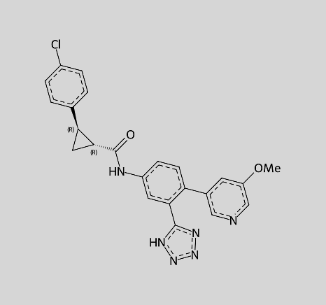 COc1cncc(-c2ccc(NC(=O)[C@@H]3C[C@H]3c3ccc(Cl)cc3)cc2-c2nnn[nH]2)c1